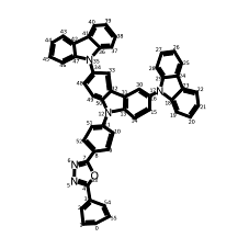 c1ccc(-c2nnc(-c3ccc(-n4c5ccc(-n6c7ccccc7c7ccccc76)cc5c5cc(-n6c7ccccc7c7ccccc76)ccc54)cc3)o2)cc1